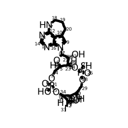 O=P1(O)OC[C@H]2O[C@@H](n3cc4c5c(ncnc53)NCCC4)[C@H](O)[C@@H]2OP(=O)(S)OC[C@H]2O[C@@H](I)[C@H](O1)[C@@H]2O